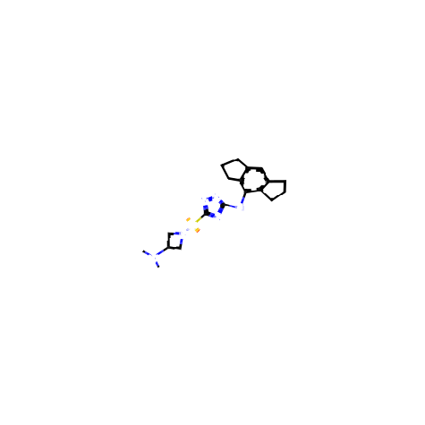 CN(C)C1CN(S(=O)(=O)c2nnc(Nc3c4c(cc5c3CCC5)CCC4)[nH]2)C1